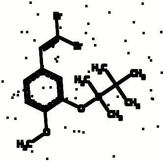 COc1ccc(C=C(Br)Br)cc1O[Si](C)(C)C(C)(C)C